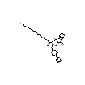 CCCCCCCCCCCCCCC(=O)OC(CN1CCN(c2ccccn2)CC1)CN1C(=O)C2C3C=CC(C3)C2C1=O